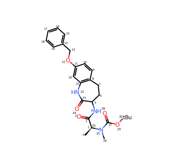 C[C@@H](C(=O)NC1CCc2ccc(OCc3ccccc3)cc2NC1=O)N(C)C(=O)OC(C)(C)C